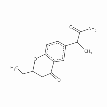 CCC1CC(=O)c2cc(C(C)C(N)=O)ccc2O1